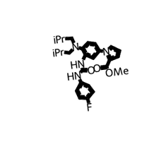 COC(=O)c1cccn1-c1ccc(N(CC(C)C)CC(C)C)c(NC(=O)Nc2ccc(F)cc2)c1